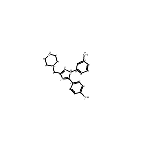 CCCCc1ccc(-c2nc(CN3CCOCC3)nn2-c2cccc(O)c2)cc1